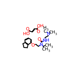 CC(C)N(CCOc1cccc2c1CCC2)C(=O)NCCN(C)C.O=C(O)C=CC(=O)O